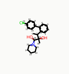 CC(c1ccccc1-c1ccc(Cl)cc1)C(C)(O)C(O)N1CCCCC1